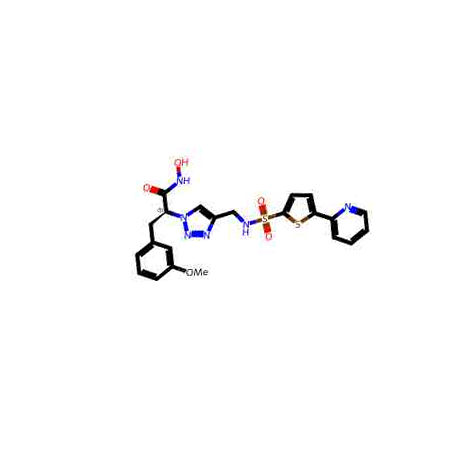 COc1cccc(C[C@@H](C(=O)NO)n2cc(CNS(=O)(=O)c3ccc(-c4ccccn4)s3)nn2)c1